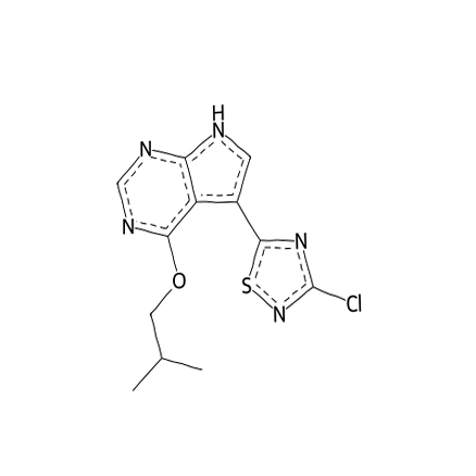 CC(C)COc1ncnc2[nH]cc(-c3nc(Cl)ns3)c12